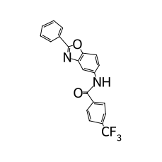 O=C(Nc1ccc2oc(-c3ccccc3)nc2c1)c1ccc(C(F)(F)F)cc1